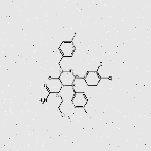 CCC[C@H](C(N)=O)N1C(=O)[C@H](Cc2ccc(F)cc2)O[C@@H](c2ccc(Cl)c(Cl)c2)[C@H]1c1ccc(Cl)cc1